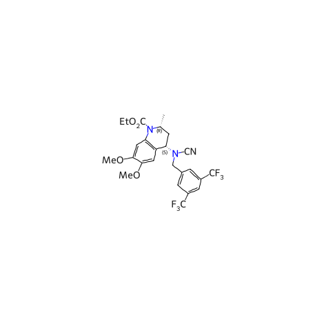 CCOC(=O)N1c2cc(OC)c(OC)cc2[C@@H](N(C#N)Cc2cc(C(F)(F)F)cc(C(F)(F)F)c2)C[C@H]1C